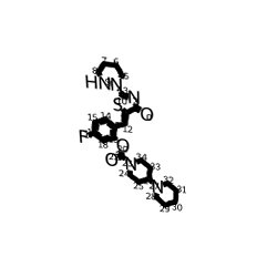 O=C1N=C(N2CCCCN2)SC1=Cc1ccc(F)cc1OC(=O)N1CCC(N2CCCCC2)CC1